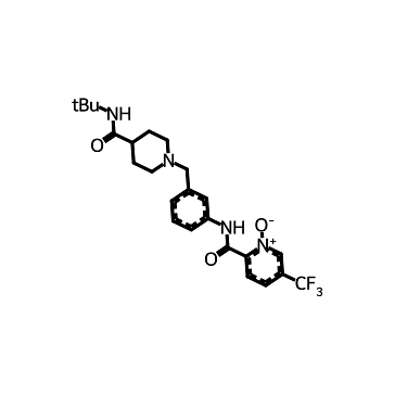 CC(C)(C)NC(=O)C1CCN(Cc2cccc(NC(=O)c3ccc(C(F)(F)F)c[n+]3[O-])c2)CC1